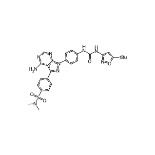 CN(C)S(=O)(=O)c1ccc(-c2nn(-c3ccc(NC(=O)Nc4cc(C(C)(C)C)on4)cc3)c3ncnc(N)c23)cc1